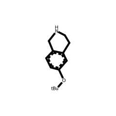 CC(C)(C)Oc1ccc2c(c1)CCNC2